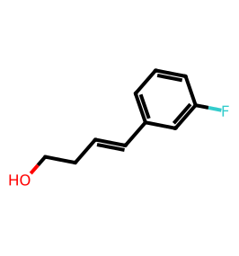 OCC/C=C/c1cccc(F)c1